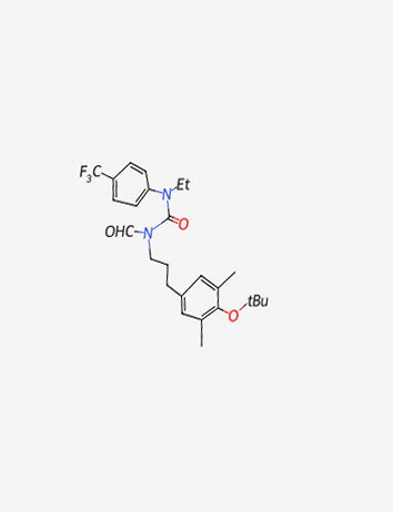 CCN(C(=O)N(C=O)CCCc1cc(C)c(OC(C)(C)C)c(C)c1)c1ccc(C(F)(F)F)cc1